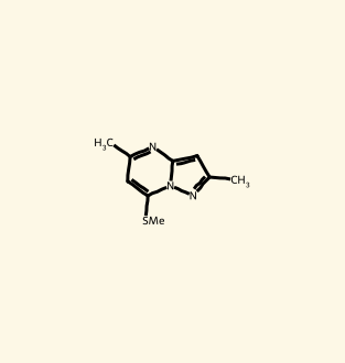 CSc1cc(C)nc2cc(C)nn12